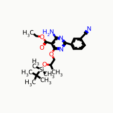 CCOC(=O)c1c(N)nc(-c2cccc(C#N)c2)nc1OCC(C)O[Si](C)(C)C(C)(C)C